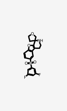 O=S(=O)(c1cc(F)cc(F)c1)c1ccc2oc3c(c2c1)CCNC31CCOC1